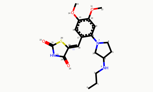 CCCNC1CCN(c2cc(OC)c(OC)cc2/C=C2\SC(=O)NC2=O)C1